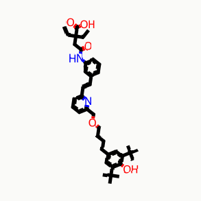 CCC(CC)(CC(=O)Nc1cccc(/C=C/c2cccc(COCCCCc3cc(C(C)(C)C)c(O)c(C(C)(C)C)c3)n2)c1)C(=O)O